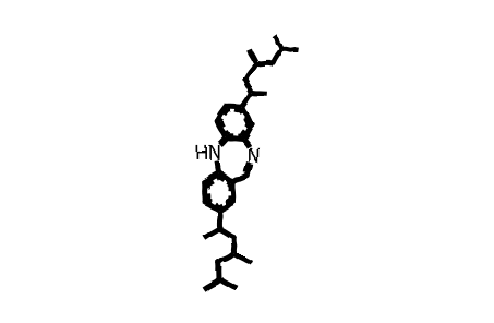 CC(C)CC(C)CC(C)c1ccc2c(c1)C=Nc1cc(C(C)CC(C)CC(C)C)ccc1N2